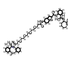 CN1Cc2ccccc2/C(N(N)CCOCCOCCOCCOCCC(=O)Nc2ccc3sc(C(=O)Nc4ccccc4C(=O)NC4CCCCNC4=O)cc3c2)=C(/N)c2ccccc21